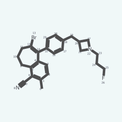 Cc1ccc2c(c1C#N)CCCC(Br)=C2c1ccc(CC2CN(CCCF)C2)cc1